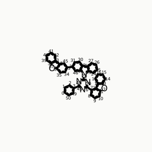 c1ccc(-c2nc(-c3cccc4oc5ccccc5c34)nc(-n3c4ccccc4c4ccc(-c5ccc6oc7ccccc7c6c5)cc43)n2)cc1